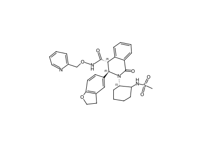 CS(=O)(=O)NC1CCCC[C@@H]1N1C(=O)c2ccccc2[C@@H](C(=O)NOCc2ccccn2)[C@@H]1c1ccc2c(c1)CCO2